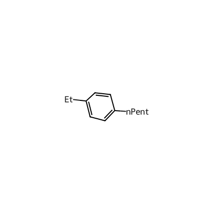 [CH2]Cc1ccc(CCCCC)cc1